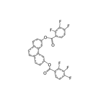 O=C(Oc1ccc2ccc3ccc(OC(=O)c4ccc(F)c(F)c4F)cc3c2c1)c1ccc(F)c(F)c1F